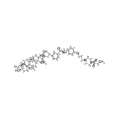 CCCC1(C(=O)NCCc2cccc(C(=O)NCc3ccc(OCCCN4CCN(S(=O)(=O)CC)CC4)cc3)c2)CCC2C(CCC3C2(C)CCC2C(C)(C)C(O)CCC23C)C1C